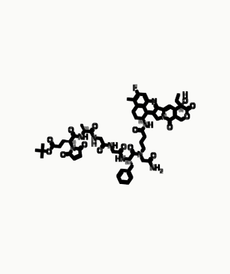 CC[C@@]1(O)C(=O)OCc2c1cc1n(c2=O)Cc2c-1nc1cc(F)c(C)c3c1c2[C@@H](NC(=O)CCCN(CC(N)=O)C(=O)[C@H](Cc1ccccc1)NC(=O)CNC(=O)CNC(=O)[C@H](C)NC(=O)[C@H](CCC(=O)OC(C)(C)C)N1C(=O)C=CC1=O)CC3